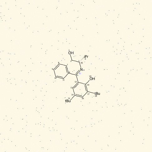 CC(C)[C@@H](CO)/N=C(\c1ccccc1)c1cc(C(C)(C)C)cc(C(C)(C)C)c1O